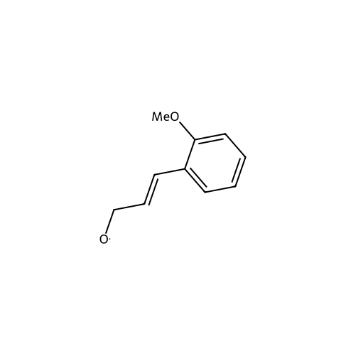 COc1ccccc1/C=C/C[O]